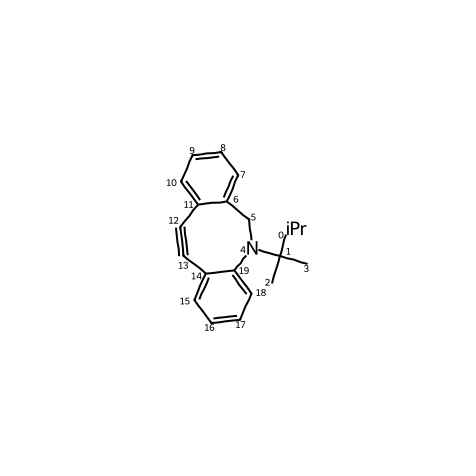 CC(C)C(C)(C)N1Cc2ccccc2C#Cc2ccccc21